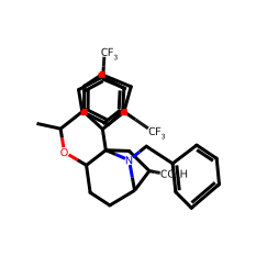 CC(OC1CCC2C(C(=O)O)CC1(c1ccccc1)N2Cc1ccccc1)c1cc(C(F)(F)F)cc(C(F)(F)F)c1